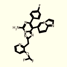 Nc1nc(-c2ccc(F)cc2)c(-c2ccc3nccn3c2)c2nc(Cc3ncccc3OC(F)F)nn12